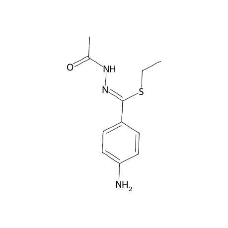 CCS/C(=N\NC(C)=O)c1ccc(N)cc1